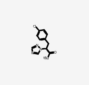 CC(C)(C)C(=O)C(Cc1ccc(Cl)cc1)n1cncn1